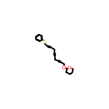 C(#CCC#CCSc1ccccc1)CC#CCOC1CCCCO1